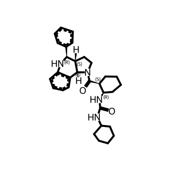 O=C(NC1CCCCC1)N[C@@H]1CCCC[C@@H]1C(=O)N1CC[C@H]2[C@H](c3ccccc3)Nc3ccccc3[C@@H]21